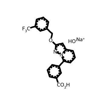 O=C(O)c1cccc(-c2cccc3cc(OCc4cccc(C(F)(F)F)c4)nn23)c1.[Na+].[OH-]